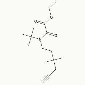 C#CCC(C)(C)CCN(C(=O)C(=O)OCC)C(C)(C)C